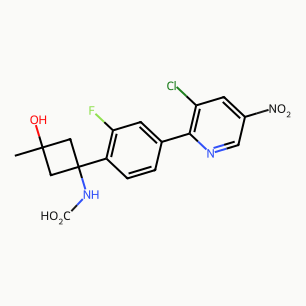 CC1(O)CC(NC(=O)O)(c2ccc(-c3ncc([N+](=O)[O-])cc3Cl)cc2F)C1